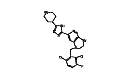 Fc1ccc(Cl)c(CN2CCNc3nnc(-c4nnc(C5CCNCC5)[nH]4)cc32)c1Cl